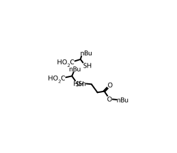 CCCCC(S)C(=O)O.CCCCC(S)C(=O)O.CCCCOC(=O)C[CH2][SnH]